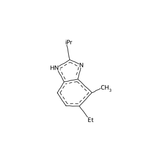 CCc1ccc2[nH]c(C(C)C)nc2c1C